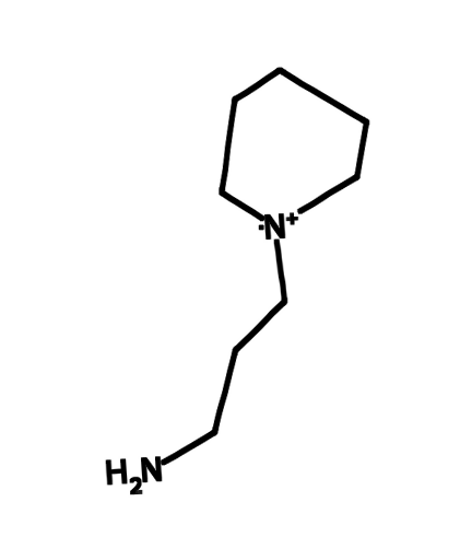 NCCC[N+]1CCCCC1